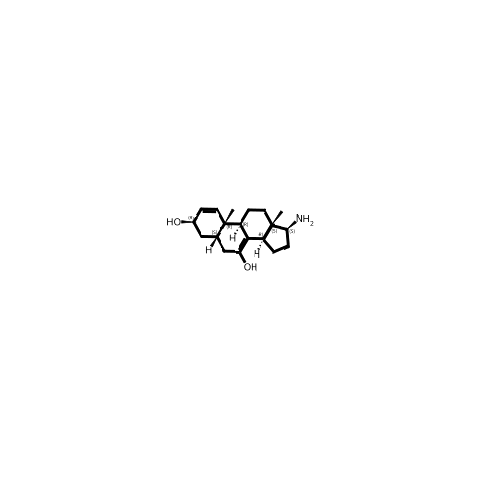 C[C@]12C=C[C@H](O)C[C@H]1CC(O)=C1[C@@H]2CC[C@]2(C)[C@@H](N)CC[C@@H]12